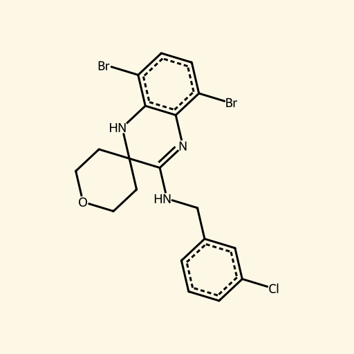 Clc1cccc(CNC2=Nc3c(Br)ccc(Br)c3NC23CCOCC3)c1